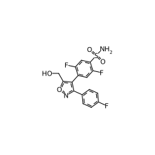 NS(=O)(=O)c1cc(F)c(-c2c(-c3ccc(F)cc3)noc2CO)cc1F